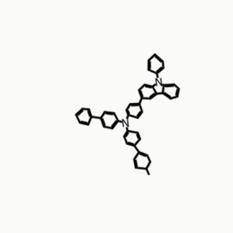 CC1C=CC(c2ccc(N(c3ccc(-c4ccccc4)cc3)c3ccc(-c4ccc5c(c4)c4ccccc4n5-c4ccccc4)cc3)cc2)=CC1